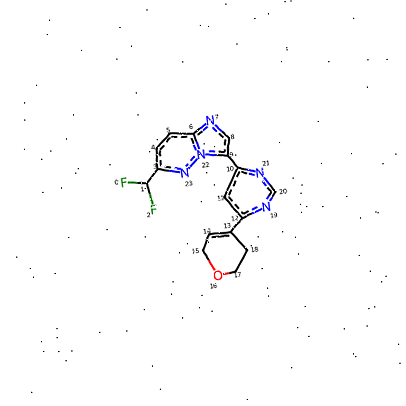 FC(F)c1ccc2ncc(-c3cc(C4=CCOCC4)ncn3)n2n1